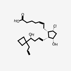 C=CCC1([C@H](O)C/C=C/[C@@H]2[C@H](C/C=C\CCCC(=O)O)[C@H](Cl)C[C@@H]2O)CCC1